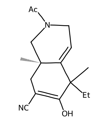 CCC1(C)C2=CCN(C(C)=O)C[C@]2(C)CC(C#N)=C1O